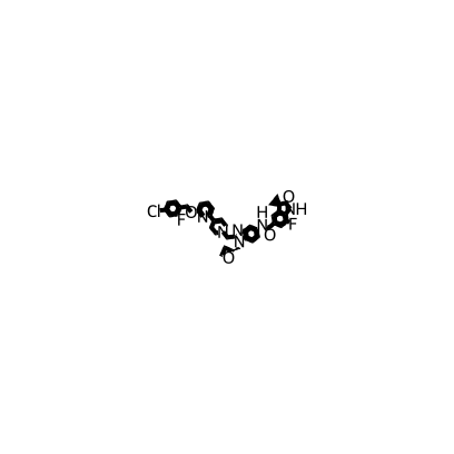 O=C(Nc1ccc2c(c1)nc(CN1CC=C(c3cccc(OCc4ccc(Cl)cc4F)n3)CC1)n2C[C@@H]1CCO1)c1cc(F)c2c(c1)C1(CC1)C(=O)N2